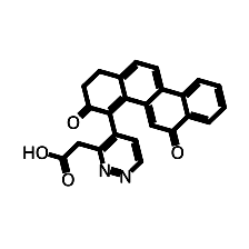 O=C(O)Cc1nnccc1C1=c2c(ccc3c2=CC(=O)c2ccccc2-3)CCC1=O